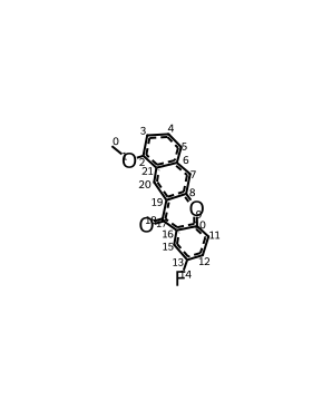 COc1cccc2cc3oc4ccc(F)cc4c(=O)c3cc12